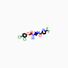 O=C(COc1ccc(Cl)c(Cl)c1)NC12CC(NC(=O)c3ccc(C(F)F)nc3)(C1)C2